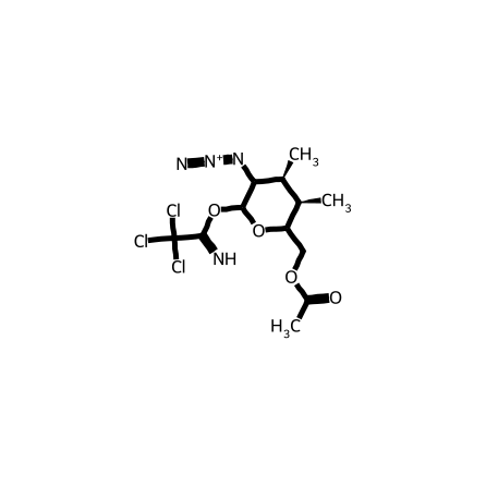 CC(=O)OCC1OC(OC(=N)C(Cl)(Cl)Cl)C(N=[N+]=[N-])[C@@H](C)[C@H]1C